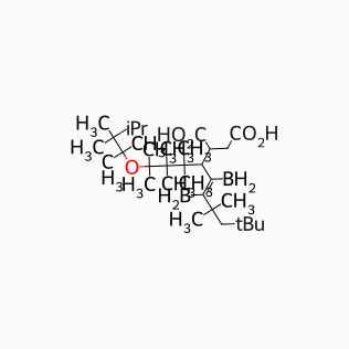 B/C(=C(/B)C(C)(C)CC(C)(C)C)C(C(CC(=O)O)C(=O)O)C(C)(C)C(C)(C)C(C)(C)OC(C)(C)C(C)(C)C(C)C